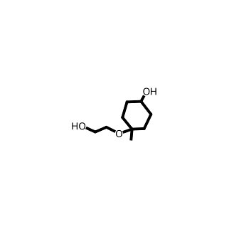 CC1(OCCO)CCC(O)CC1